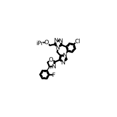 CC(C)OCc1nnc2n1Cc1c(C3=N[C@@H](c4ccccc4F)CO3)ncn1-c1ccc(Cl)cc1-2